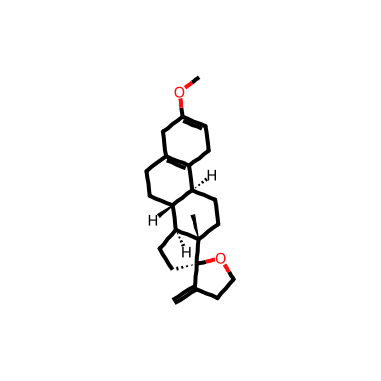 C=C1CCO[C@@]12CC[C@H]1[C@@H]3CCC4=C(CC=C(OC)C4)[C@H]3CC[C@@]12C